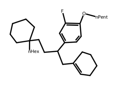 CCCCCCC1(CCC(CC2=CCCCC2)c2ccc(OCCCCC)c(F)c2)CCCCC1